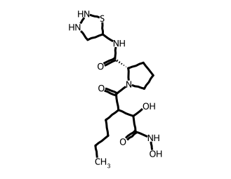 CCCCC(C(=O)N1CCC[C@H]1C(=O)NC1CNNS1)C(O)C(=O)NO